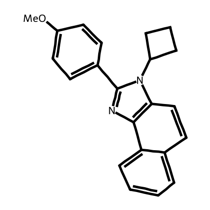 COc1ccc(-c2nc3c4ccccc4ccc3n2C2CCC2)cc1